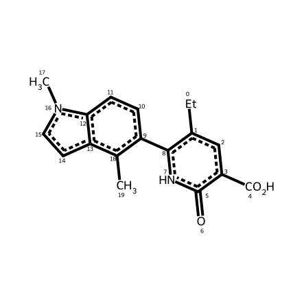 CCc1cc(C(=O)O)c(=O)[nH]c1-c1ccc2c(ccn2C)c1C